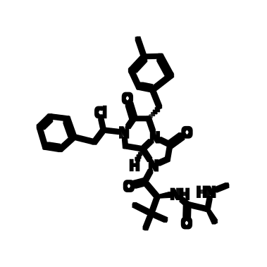 CN[C@@H](C)C(=O)N[C@H](C(=O)N1CC(=O)N2[C@@H]1CN(C(Cl)Cc1ccccc1)C(=O)[C@@H]2Cc1ccc(C)cc1)C(C)(C)C